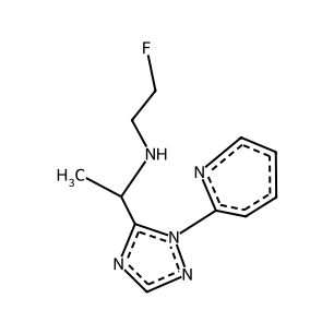 CC(NCCF)c1ncnn1-c1ccccn1